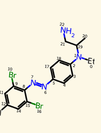 CCN(c1ccc(N=Nc2c(Br)cc([N+](=O)[O-])cc2Br)cc1)C(C)CN